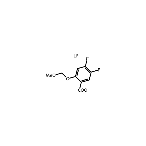 COCOc1cc(Cl)c(F)cc1C(=O)[O-].[Li+]